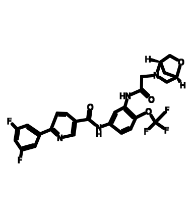 O=C(CN1C[C@@H]2C[C@H]1CO2)Nc1cc(NC(=O)c2ccc(-c3cc(F)cc(F)c3)nc2)ccc1OC(F)(F)F